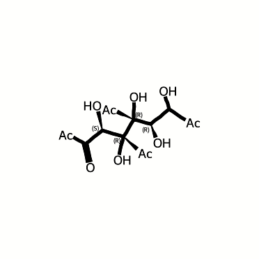 CC(=O)C(=O)[C@@H](O)[C@](O)(C(C)=O)[C@@](O)(C(C)=O)[C@H](O)C(O)C(C)=O